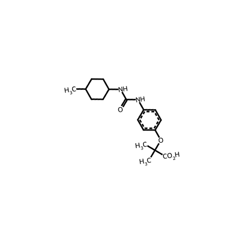 CC1CCC(NC(=O)Nc2ccc(OC(C)(C)C(=O)O)cc2)CC1